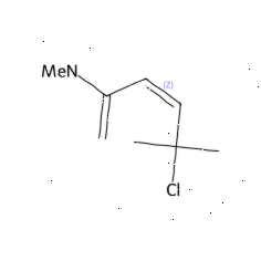 C=C(/C=C\C(C)(C)Cl)NC